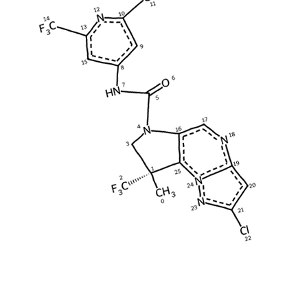 C[C@@]1(C(F)(F)F)CN(C(=O)Nc2cc(C#N)nc(C(F)(F)F)c2)c2cnc3cc(Cl)nn3c21